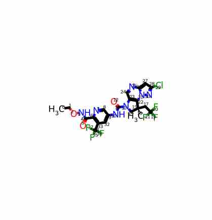 CCONC(=O)c1ncc(NC(=O)N2C[C@@](C)(CC(F)(F)F)c3c2cnc2cc(Cl)nn32)cc1C(F)(F)F